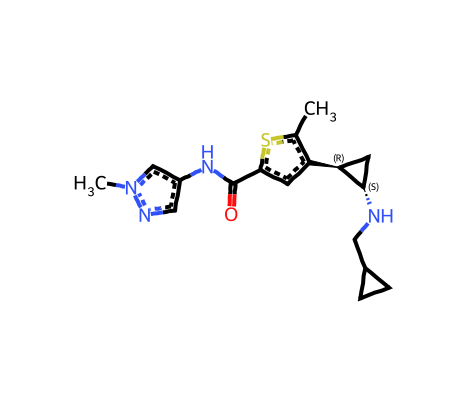 Cc1sc(C(=O)Nc2cnn(C)c2)cc1[C@H]1C[C@@H]1NCC1CC1